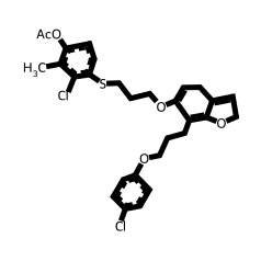 CC(=O)Oc1ccc(SCCCOC2=CCC3=CCOC3=C2CCCOc2ccc(Cl)cc2)c(Cl)c1C